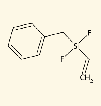 C=C[Si](F)(F)Cc1ccccc1